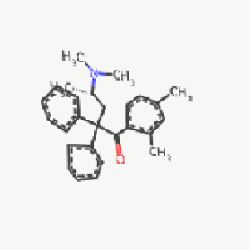 Cc1ccc(C(=O)C(C[C@H](C)N(C)C)(c2ccccc2)c2ccccc2)c(C)c1